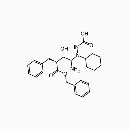 NC([C@@H](O)[C@H](Cc1ccccc1)C(=O)OCc1ccccc1)N(NC(=O)O)C1CCCCC1